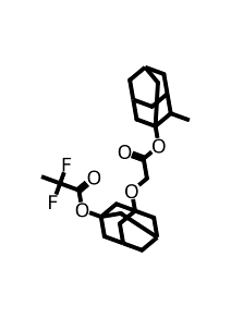 CC1C2CC3CC(C2)CC1(OC(=O)COC12CC4CC(C1)CC(OC(=O)C(C)(F)F)(C4)C2)C3